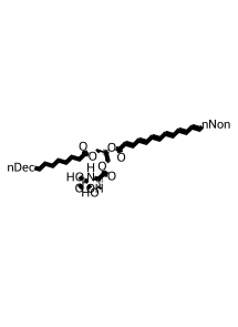 CCCCCCCCCC=CC=CC=CC=CC=CC=CC(=O)O[C@H](COC(=O)CCCCCCCCCCCCCCCCC)COC(=O)[C@H](CO)NP(=O)(O)O